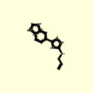 C=CCSc1nnc(-c2ccc3[nH]cnc3c2)o1